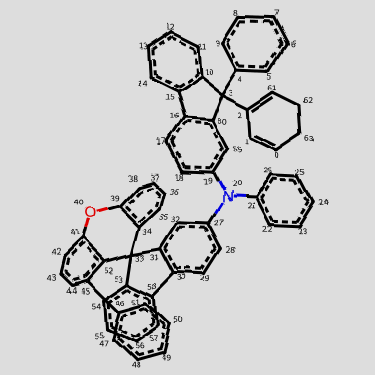 C1=CC(C2(c3ccccc3)c3ccccc3-c3ccc(N(c4ccccc4)c4ccc5c(c4)C4(c6ccccc6Oc6cccc(-c7ccccc7)c64)c4ccccc4-5)cc32)=CCC1